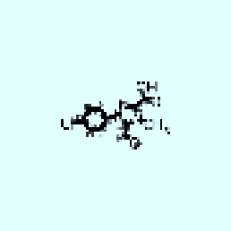 CN1C(C(=O)O)=NN(c2ccc(Cl)cc2)C1C=O